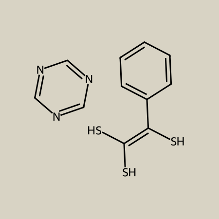 SC(S)=C(S)c1ccccc1.c1ncncn1